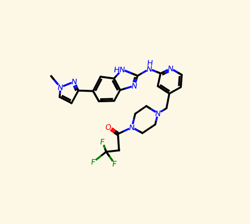 Cn1ccc(-c2ccc3nc(Nc4cc(CN5CCN(C(=O)CC(F)(F)F)CC5)ccn4)[nH]c3c2)n1